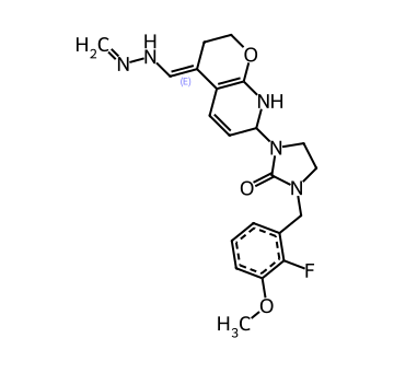 C=NN/C=C1\CCOC2=C1C=CC(N1CCN(Cc3cccc(OC)c3F)C1=O)N2